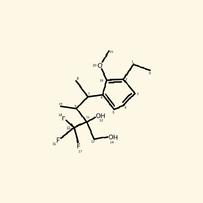 CCc1cccc(C(C)C(C)C(O)(CO)C(F)(F)F)c1OC